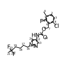 Cc1ccc(Cl)c(COC(=O)Nc2cnn(CCCCC(C)(F)F)c2)c1F